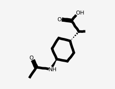 CC(=O)N[C@H]1CC[C@H](C(C)C(=O)O)CC1